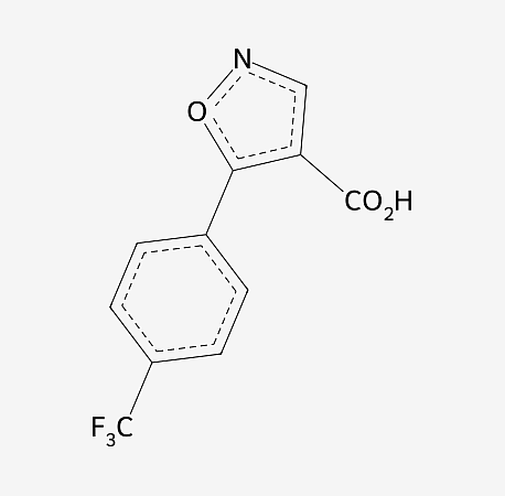 O=C(O)c1cnoc1-c1ccc(C(F)(F)F)cc1